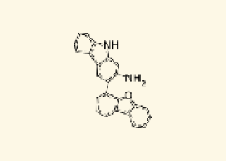 Nc1cc2[nH]c3ccccc3c2cc1-c1cccc2c1oc1ccccc12